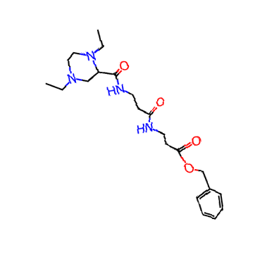 CCN1CCN(CC)C(C(=O)NCCC(=O)NCCC(=O)OCc2ccccc2)C1